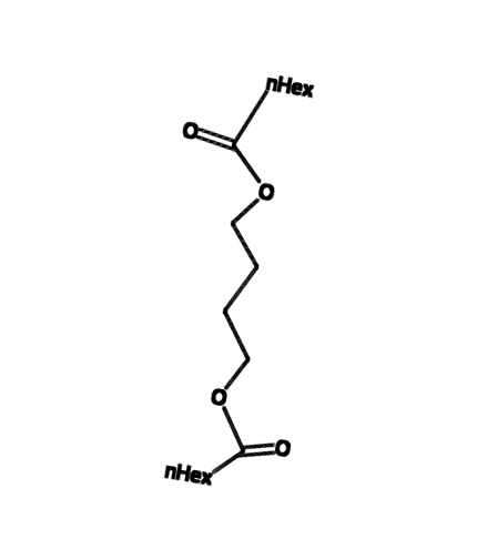 CCCCCCC(=O)OCCCCOC(=O)CCCCCC